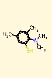 Cc1cc(C)c(N(C)C)c(S)c1